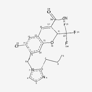 CCCc1nccn1Cc1cc2c(cc1Cl)C=C(C(=O)O)C(C(F)(F)F)O2